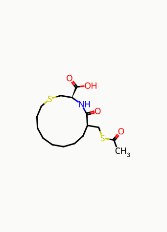 CC(=O)SCC1CCCCCCCCSC[C@@H](C(=O)O)NC1=O